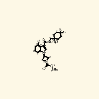 CC(C)(C)OC(=O)N1CC(n2cc(C(=O)NCC3(O)CCC(F)(F)CC3)c3c(Cl)cccc32)C1